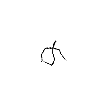 CC1(CI)CCOCC1